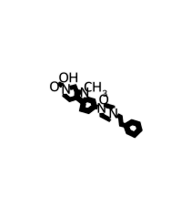 Cn1c2c(c3ccc(N4CCN(CCc5ccccc5)CC4=O)cc31)CCN(C(=O)O)C2